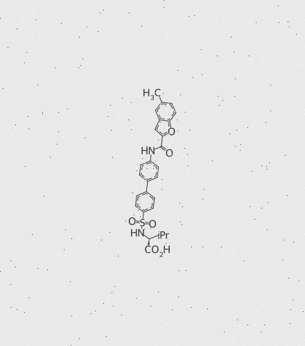 Cc1ccc2oc(C(=O)Nc3ccc(-c4ccc(S(=O)(=O)N[C@H](C(=O)O)C(C)C)cc4)cc3)cc2c1